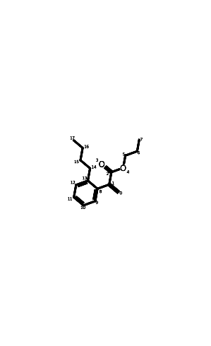 C=C(C(=O)OCCC)c1ccccc1CCCC